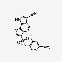 N#Cc1ccc(NS(=O)(=O)c2c[nH]c3c2ccc2c(C#N)c[nH]c23)c(F)c1